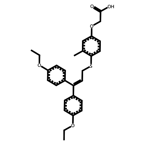 CCOc1ccc(C(=CCSc2ccc(OCC(=O)O)cc2C)c2ccc(OCC)cc2)cc1